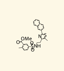 COC(=O)c1cc(S(=O)(=O)NCCc2nc(-c3ccc4ccccc4c3)sc2C)ccc1C